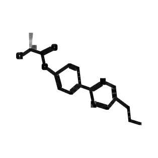 CCCc1cnc(-c2ccc(OC(=O)[C@@H](C)Cl)cc2)nc1